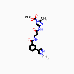 CCCOC(=O)n1cc(NC(=O)CCNC(=O)c2cccc(-c3cnn(C)c3)c2)nc1C